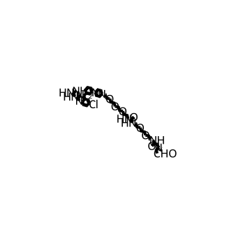 CN(CC=O)CC(=O)NCCOCCOCCNC(=O)NCCOCCOCCOCCN1CCN(c2cccc(-c3nc(NC(=N)N)nc4ccc(Cl)cc34)c2)CC1